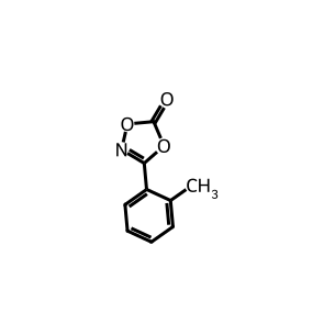 Cc1ccccc1-c1noc(=O)o1